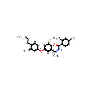 COc1cc(C(F)(F)F)ccc1C(=O)N[C@H](C)c1cc(F)cc(Oc2ccc(CCC(=O)O)c(C)c2)c1